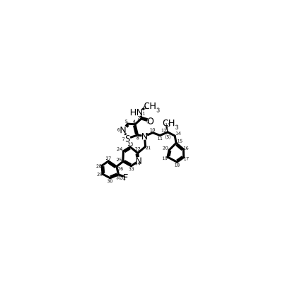 CNC(=O)c1cnsc1N(CC[C@@H](C)Cc1ccccc1)Cc1ccc(-c2ccccc2F)cn1